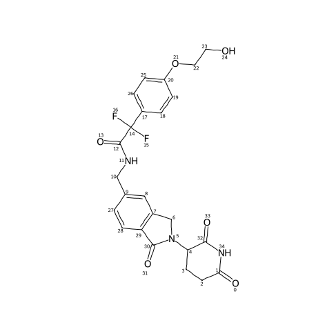 O=C1CCC(N2Cc3cc(CNC(=O)C(F)(F)c4ccc(OCCO)cc4)ccc3C2=O)C(=O)N1